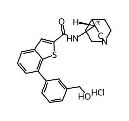 Cl.O=C(N[C@H]1CN2CCC1CC2)c1cc2cccc(-c3cccc(CO)c3)c2s1